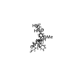 C=CCC1CN(C2CCCCC2)C(=N/C(=C)Nc2ccc(C(=O)N[C@@H]3CCNC3)cc2OC)/C(=C\N)N(C)C1=O